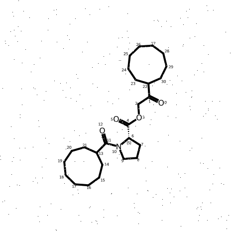 O=C(COC(=O)[C@@H]1CCCN1C(=O)C1CCCCCCCC1)C1CCCCCCCC1